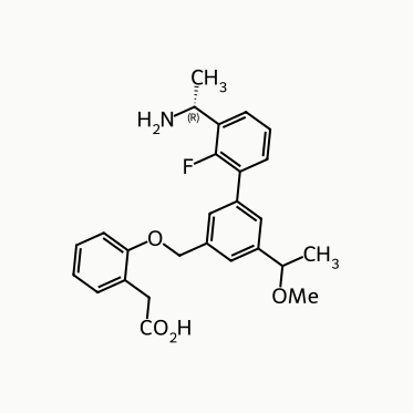 COC(C)c1cc(COc2ccccc2CC(=O)O)cc(-c2cccc([C@@H](C)N)c2F)c1